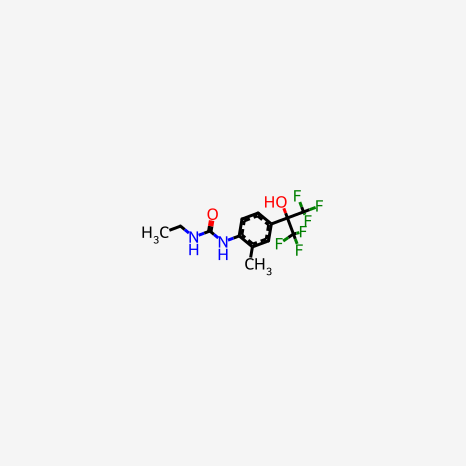 CCNC(=O)Nc1ccc(C(O)(C(F)(F)F)C(F)(F)F)cc1C